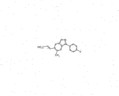 Cc1cc2c(cnn2-c2ccc(F)cc2)cc1/C=C/C(=O)O